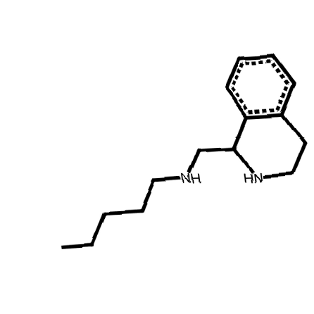 CCCCCNCC1NCCc2ccccc21